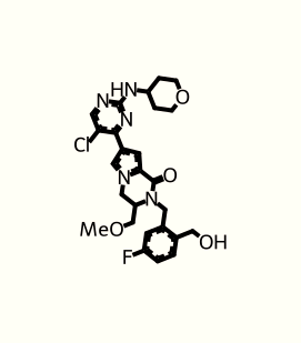 COCC1Cn2cc(-c3nc(NC4CCOCC4)ncc3Cl)cc2C(=O)N1Cc1cc(F)ccc1CO